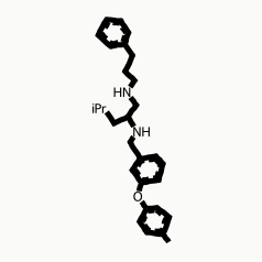 Cc1ccc(Oc2cccc(CNC(CNCCCc3ccccc3)CC(C)C)c2)cc1